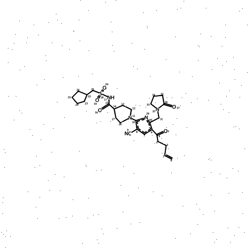 C=CCCC(=O)c1cc(C#N)c(N2CCC(C(=O)NS(=O)(=O)CC3CCCC3)CC2)nc1CN1CCCC1=O